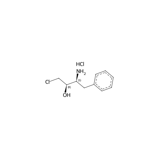 Cl.N[C@@H](Cc1ccccc1)[C@@H](O)CCl